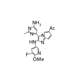 COc1ncc(Nc2nc3ccc(C(C)=O)cn3c2-c2cc(N)nc(C)n2)cc1F